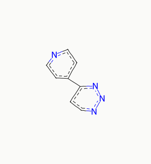 c1cc(-c2ccnnn2)ccn1